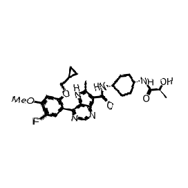 COc1cc(OCC2CC2)c(-c2ncnc3c(C(=O)N[C@H]4CC[C@@H](NC(=O)[C@H](C)O)CC4)c(C)[nH]c23)cc1F